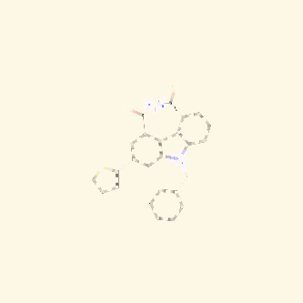 NC(=O)c1cccc2c1c1c(C(=O)C(=O)O)cc(-c3cccs3)cc1n2Cc1ccccc1